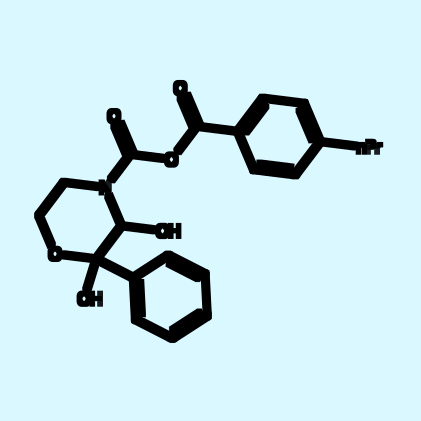 CCCc1ccc(C(=O)OC(=O)N2CCOC(O)(c3ccccc3)C2O)cc1